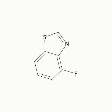 Fc1cccc2scnc12